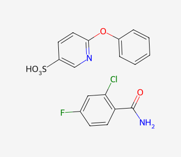 NC(=O)c1ccc(F)cc1Cl.O=S(=O)(O)c1ccc(Oc2ccccc2)nc1